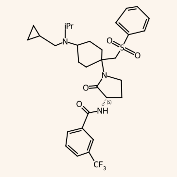 CC(C)N(CC1CC1)C1CCC(CS(=O)(=O)c2ccccc2)(N2CC[C@H](NC(=O)c3cccc(C(F)(F)F)c3)C2=O)CC1